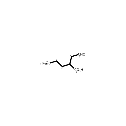 CCCCCCCC(CC=O)C(=O)O